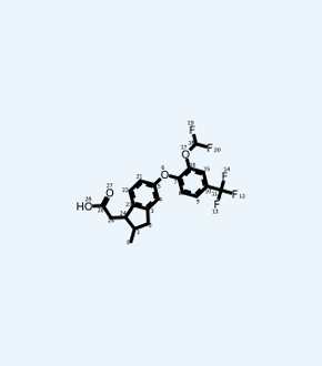 CC1Cc2cc(Oc3ccc(C(F)(F)F)cc3OC(F)F)ccc2C1CC(=O)O